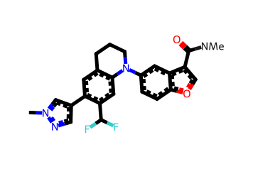 CNC(=O)c1coc2ccc(N3CCCc4cc(-c5cnn(C)c5)c(C(F)F)cc43)cc12